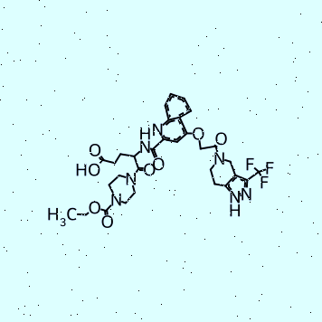 CCOC(=O)N1CCN(C(=O)C(CCC(=O)O)NC(=O)c2cc(OCC(=O)N3CCc4[nH]nc(C(F)(F)F)c4C3)c3ccccc3n2)CC1